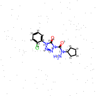 NN(C(=O)n1nnn(-c2ccccc2Cl)c1=O)C1CCCC1